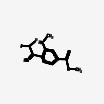 CNc1cc(C(=O)OC)ccc1C(=N)C(F)F